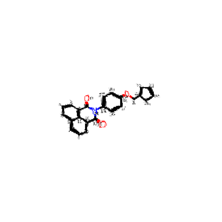 O=C1c2cccc3cccc(c23)C(=O)N1c1ccc(OCC2=CC=CC2)cc1